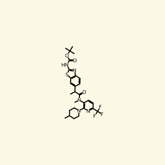 CC1CCN(c2nc(C(F)(F)F)ccc2N(C)C(=O)C(C)c2ccc3nc(NC(=O)OC(C)(C)C)sc3c2)CC1